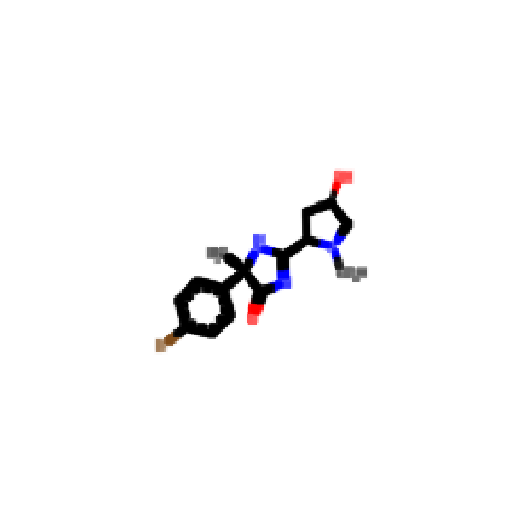 CC1(c2ccc(Br)cc2)NC(C2C[C@@H](O)CN2C(=O)O)=NC1=O